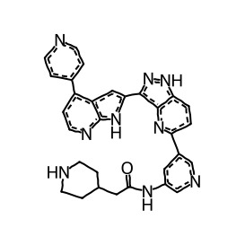 O=C(CC1CCNCC1)Nc1cncc(-c2ccc3[nH]nc(-c4cc5c(-c6ccncc6)ccnc5[nH]4)c3n2)c1